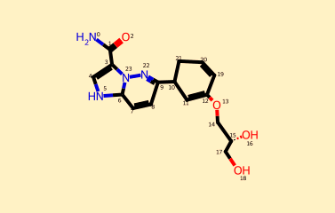 NC(=O)C1=CNC2C=CC(C3C=C(OC[C@H](O)CO)C=CC3)=NN12